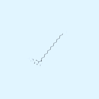 CCCCCCCCCCCCCCCC(=O)C(C)C[N+](C)(C)C